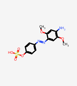 COc1cc(N=Nc2ccc(OS(=O)(=O)O)cc2)c(OC)cc1N